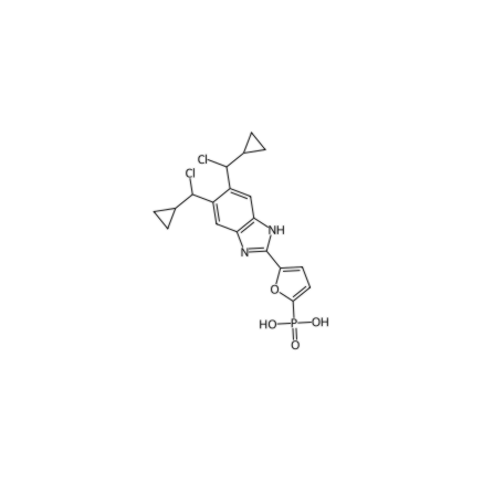 O=P(O)(O)c1ccc(-c2nc3cc(C(Cl)C4CC4)c(C(Cl)C4CC4)cc3[nH]2)o1